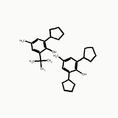 Cc1cc(C2CCCC2)c(O)c(C(C)(C)C)c1.Cc1cc(C2CCCC2)c(O)c(C2CCCC2)c1